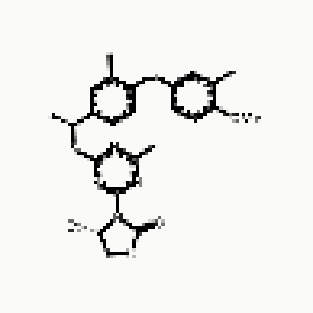 CC[C@H]1COC(=O)N1c1nc(C)nc(N[C@@H](C)c2ccc(Oc3ccc(OC)c(C)c3)c(C)c2)n1